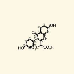 O=C(O)C(C(=O)O)c1oc2cc(O)ccc2c(=O)c1-c1ccc(O)cc1